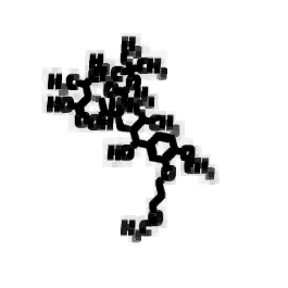 COCCCOc1cc(C(O)[C@@H](C[C@H](NC(=O)OC(C)(C)C)[C@@H](O)C[C@H](C(=O)O)C(C)C)C(C)C)ccc1OC